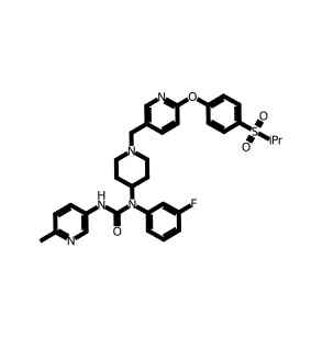 Cc1ccc(NC(=O)N(c2cccc(F)c2)C2CCN(Cc3ccc(Oc4ccc(S(=O)(=O)C(C)C)cc4)nc3)CC2)cn1